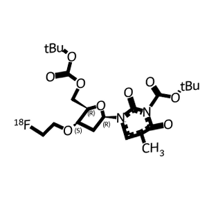 Cc1cn([C@H]2C[C@H](OCC[18F])[C@@H](COC(=O)OC(C)(C)C)O2)c(=O)n(C(=O)OC(C)(C)C)c1=O